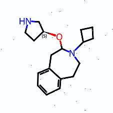 c1ccc2c(c1)CCN(C1CCC1)C(O[C@H]1CCNC1)C2